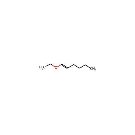 [CH2]COC=CCCCC